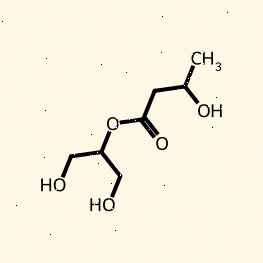 CC(O)CC(=O)OC(CO)CO